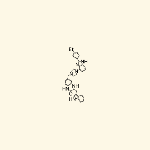 CCc1ccc(-c2nc3c(N4CCN(Cc5ccc6c(c5)NC(Cc5c[nH]c7ccccc57)C(=O)N6)CC4)cccc3[nH]2)cc1